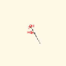 CCCCCCCCCC=CC=CC(=CC=CC=CC(=O)O)OO